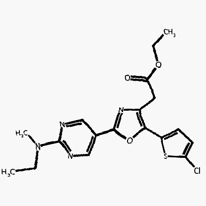 CCOC(=O)Cc1nc(-c2cnc(N(C)CC)nc2)oc1-c1ccc(Cl)s1